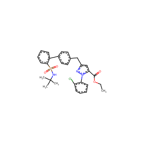 CCOC(=O)c1cc(Cc2ccc(-c3ccccc3S(=O)(=O)NC(C)(C)C)cc2)nn1-c1ccccc1Cl